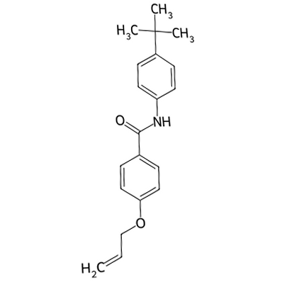 C=CCOc1ccc(C(=O)Nc2ccc(C(C)(C)C)cc2)cc1